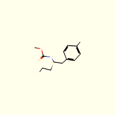 CC(C)(C)OC(=O)N[C@H](CCC(=O)O)Cc1ccc(C(F)(F)F)cc1